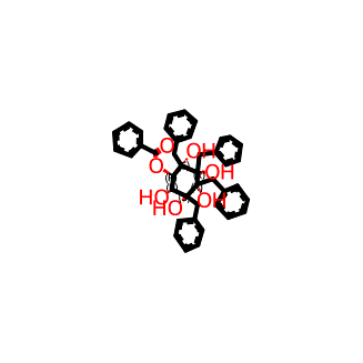 O=C(O[C@@H]1[C@@H](O)[C@@](O)(Cc2ccccc2)[C@](O)(Cc2ccccc2)[C@@](O)(Cc2ccccc2)[C@]1(O)Cc1ccccc1)c1ccccc1